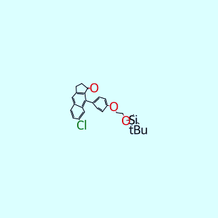 CC(C)(C)[Si](C)(C)OCCOc1ccc(-c2c3c(cc4ccc(Cl)cc24)CCC3=O)cc1